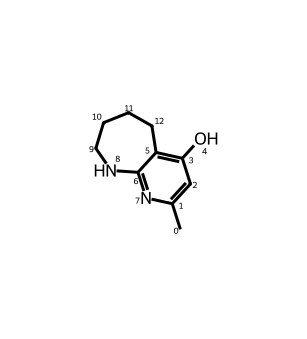 Cc1cc(O)c2c(n1)NCCCC2